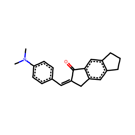 CN(C)c1ccc(C=C2Cc3cc4c(cc3C2=O)CCC4)cc1